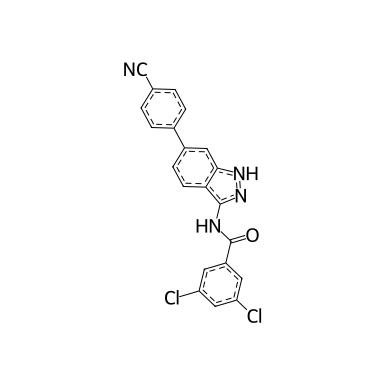 N#Cc1ccc(-c2ccc3c(NC(=O)c4cc(Cl)cc(Cl)c4)n[nH]c3c2)cc1